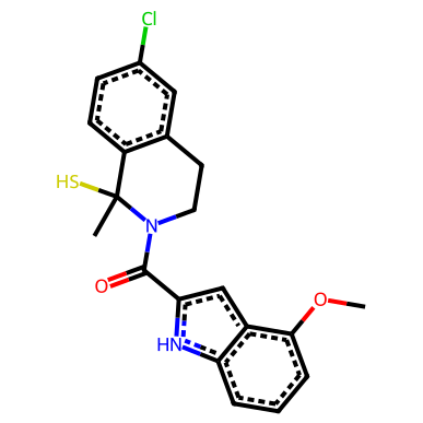 COc1cccc2[nH]c(C(=O)N3CCc4cc(Cl)ccc4C3(C)S)cc12